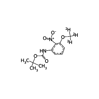 [2H]C([2H])([2H])Oc1cccc(NC(=O)OC(C)(C)C)c1[N+](=O)[O-]